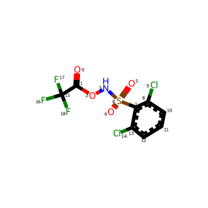 O=C(ONS(=O)(=O)c1c(Cl)cccc1Cl)C(F)(F)F